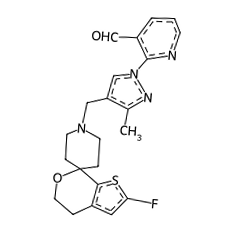 Cc1nn(-c2ncccc2C=O)cc1CN1CCC2(CC1)OCCc1cc(F)sc12